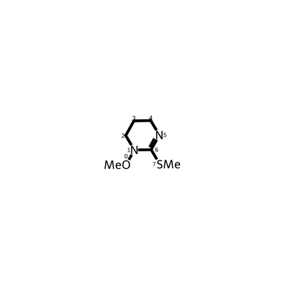 CON1CCCN=C1SC